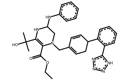 CCOC(=O)C1=C(C(C)(C)O)NC(Nc2ccccc2)CN1CC1=CCC(c2ccccc2-c2nnn[nH]2)C=C1